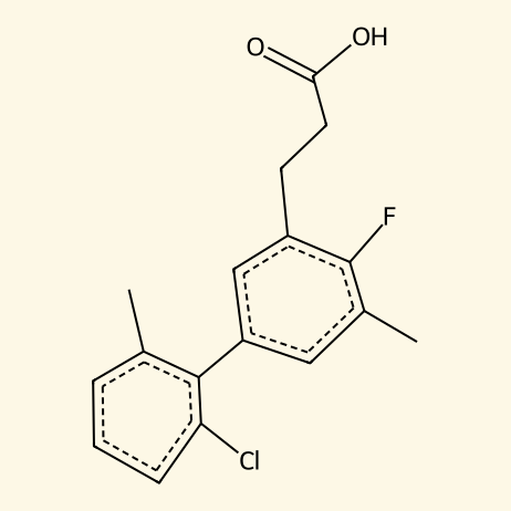 Cc1cc(-c2c(C)cccc2Cl)cc(CCC(=O)O)c1F